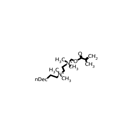 C=C(C)C(=O)OC[N+](C)(C)CC[N+](C)(C)CCCCCCCCCCCC